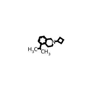 CC(C)c1cccc2c1CCN(C1CCC1)C2